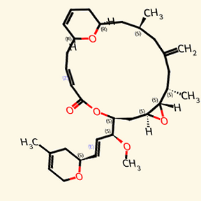 C=C1C[C@H](C)C[C@@H]2CC=C[C@@H](C/C=C\C(=O)O[C@H]([C@H](/C=C/[C@@H]3CC(C)=CCO3)OC)C[C@@H]3O[C@H]3[C@@H](C)C1)O2